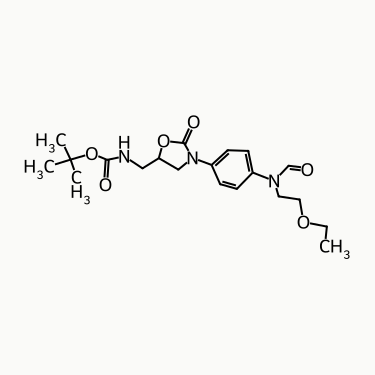 CCOCCN(C=O)c1ccc(N2CC(CNC(=O)OC(C)(C)C)OC2=O)cc1